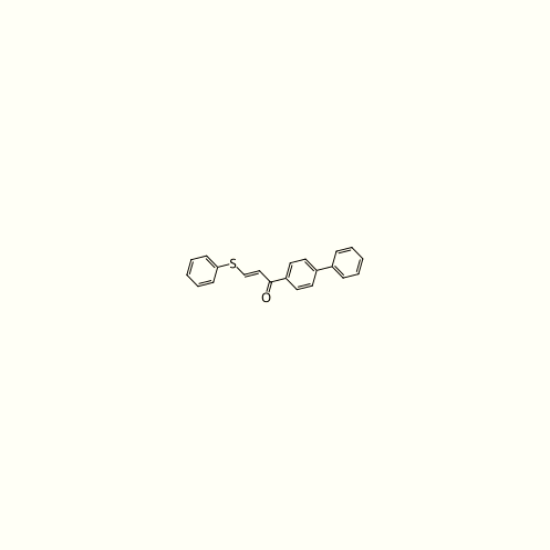 O=C(/C=C/Sc1ccccc1)c1ccc(-c2ccccc2)cc1